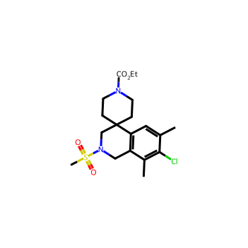 CCOC(=O)N1CCC2(CC1)CN(S(C)(=O)=O)Cc1c2cc(C)c(Cl)c1C